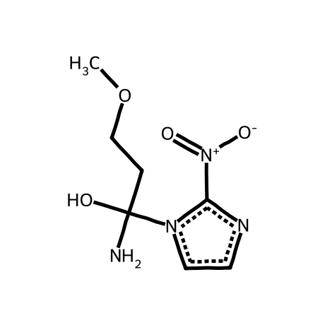 COCCC(N)(O)n1ccnc1[N+](=O)[O-]